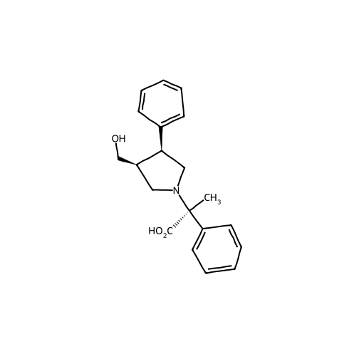 C[C@@](C(=O)O)(c1ccccc1)N1C[C@@H](CO)[C@@H](c2ccccc2)C1